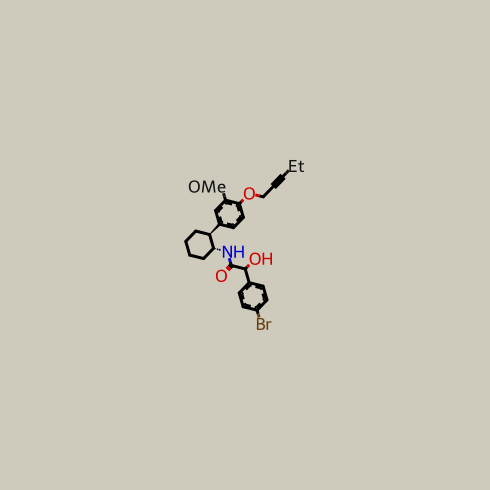 CCC#CCOc1ccc([C@@H]2CCCC[C@H]2NC(=O)C(O)c2ccc(Br)cc2)cc1OC